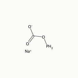 O=C([O-])OP.[Na+]